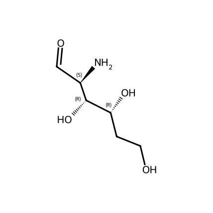 N[C@H](C=O)[C@@H](O)[C@H](O)CCO